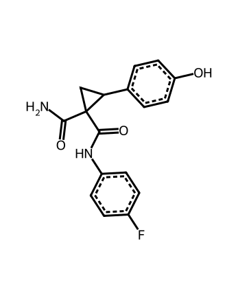 NC(=O)C1(C(=O)Nc2ccc(F)cc2)CC1c1ccc(O)cc1